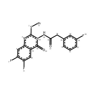 CC(C)Sc1nc2cc(F)c(F)cc2c(=O)n1NC(=O)Cc1cccc(F)c1